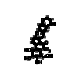 NC(=O)c1c([C@@H]2O[C@H](CO)[C@@H](O)[C@H](O)[C@@H]2O)ccc(Cl)c1Cc1ccc2c(c1)NCCO2